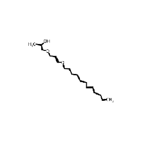 CCCCCCCCCCCCOC=CCOCC(C)O